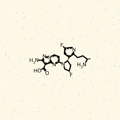 C[C@@H](N)CCc1ncc(F)cc1[C@H]1C[C@H](F)CN1c1ccn2nc(N)c(C(=O)O)c2n1